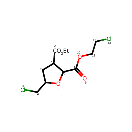 CCOC(=O)C1CC(CCl)OC1C(=O)OCCCl